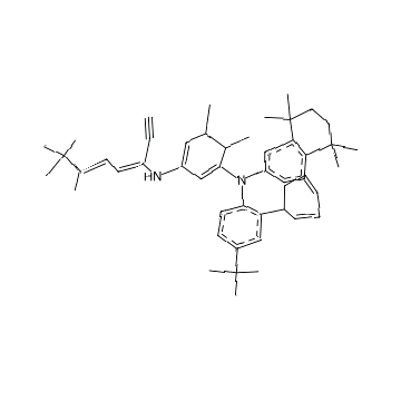 C#C/C(=C\C=C(/C)C(C)(C)C)NC1=CC(C)C(C)C(N(c2ccc3c(c2)C(C)(C)CCC3(C)C)c2ccc(C(C)(C)C)cc2C2C=CC=CC2)=C1